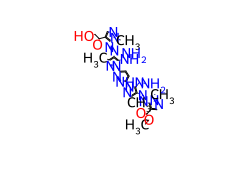 COC(=O)c1cnn(C)c1/N=N/c1c(C)nn(-c2ccc(-n3nc(C)c(/N=N/c4c(C(=O)CO)cnn4C)c3NN)nn2)c1NN